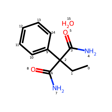 CCC(C(N)=O)(C(N)=O)c1ccccc1.O